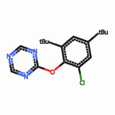 CC(C)(C)c1cc(Cl)c(Oc2ncncn2)c(C(C)(C)C)c1